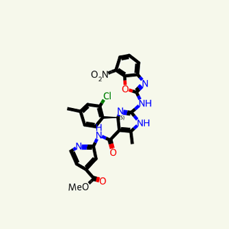 COC(=O)c1ccnc(NC(=O)C2=C(C)NC(Nc3nc4cccc([N+](=O)[O-])c4o3)=N[C@@H]2c2ccc(C)cc2Cl)c1